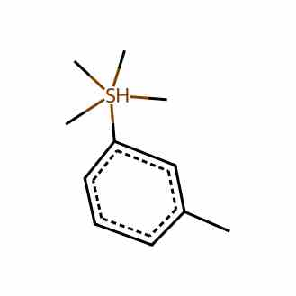 Cc1cccc([SH](C)(C)(C)C)c1